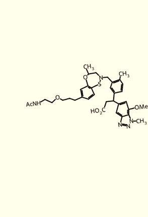 COc1cc(C(CC(=O)O)c2ccc(C)c(CN3CC(C)Oc4cc(CCCOCCNC(C)=O)ccc4S3)c2)cc2nnn(C)c12